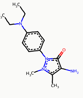 CCN(CC)c1ccc(-n2c(=O)c(N)c(C)n2C)cc1